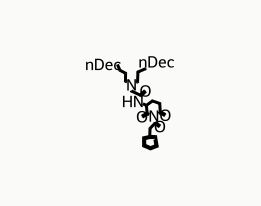 CCCCCCCCCCCCCN(CCCCCCCCCCCCC)CC(=O)NC1CCC(=O)N(C(=O)Cc2ccccc2)C1=O